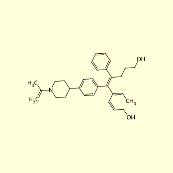 C=C(C)N1CCC(c2ccc(C(=C(CCCO)c3ccccc3)C(/C=C\CO)=C/C)cc2)CC1